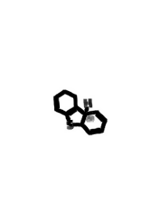 C1=CC2SC3=C(CCC=C3)[C@@H]2C=C1